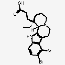 CC[C@]1(CCC(=O)O)CCCN2CCc3c([nH]c4ccc(Br)c(Br)c34)[C@@H]21